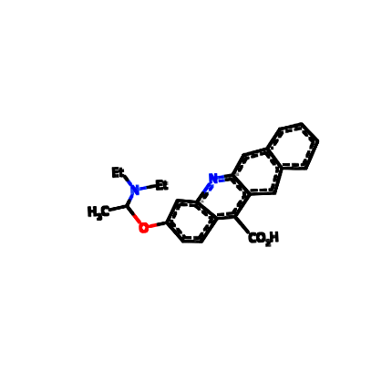 CCN(CC)C(C)Oc1ccc2c(C(=O)O)c3cc4ccccc4cc3nc2c1